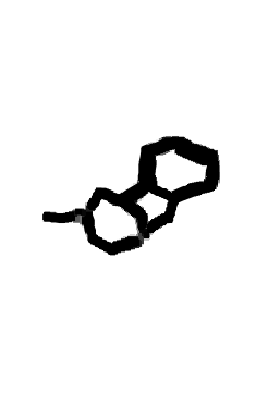 CN1CCN2Cc3ccccc3C2C1